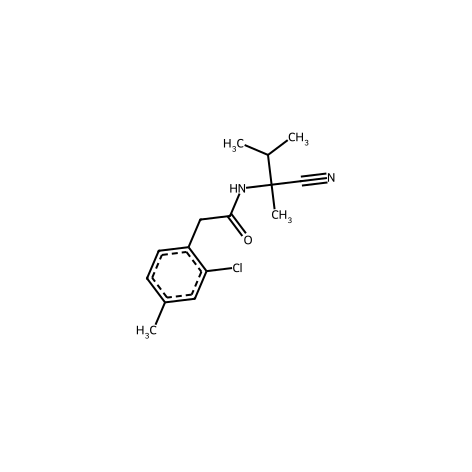 Cc1ccc(CC(=O)NC(C)(C#N)C(C)C)c(Cl)c1